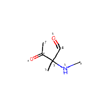 CNC(C)([C]=O)C(C)=O